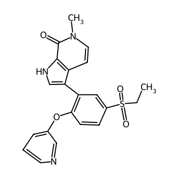 CCS(=O)(=O)c1ccc(Oc2cccnc2)c(-c2c[nH]c3c(=O)n(C)ccc23)c1